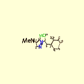 CNc1cnn(CCC2CCCCC2)c1.Cl